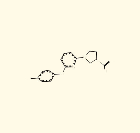 O=C(O)[C@@H]1CCN(c2cccc(Oc3ccc(Cl)cc3)n2)C1